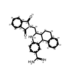 N=C(N)c1ccc2c(c1)C1c3ccccc3CCC1C(CN1C(=O)c3ccccc3C1=O)N2